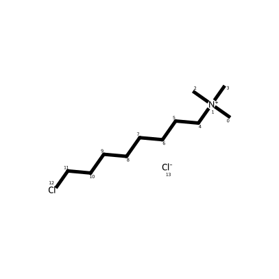 C[N+](C)(C)CCCCCCCCCl.[Cl-]